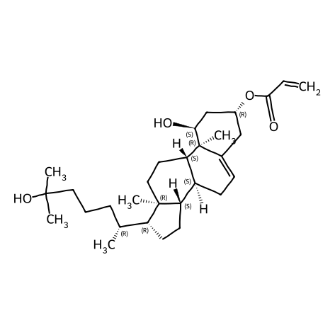 C=CC(=O)O[C@@H]1CC2=CC[C@H]3[C@@H]4CC[C@H]([C@H](C)CCCC(C)(C)O)[C@@]4(C)CC[C@@H]3[C@@]2(C)[C@@H](O)C1